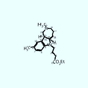 CCOC(=O)CCCN1c2ccc(C)cc2[C@H]2CN(C)CCC[C@@H]21